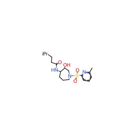 Cc1cccc(S(=O)(=O)N2CCCC(NC(=O)CCC(C)C)C(O)C2)n1